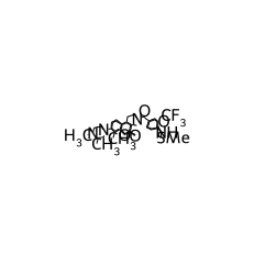 CSNc1ccc(C(=O)N2CCc3c(c(=O)oc4c(C)c(N5CCN(C)C(C)C5)ccc34)C2)cc1OC(F)(F)F